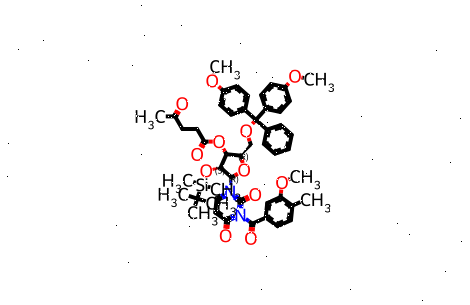 COc1ccc(C(OC[C@H]2O[C@@H](n3ccc(=O)n(C(=O)c4ccc(C)c(OC)c4)c3=O)[C@@H](O[Si](C)(C)C(C)(C)C)C2OC(=O)CCC(C)=O)(c2ccccc2)c2ccc(OC)cc2)cc1